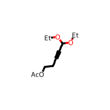 CCOC(C#CCCOC(C)=O)OCC